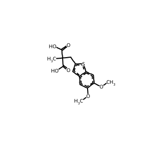 COc1cc2cc(CC(C)(C(=O)O)C(=O)O)sc2cc1OC